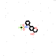 O=S(=O)(Nc1ccccc1-c1ccc2c(c1)OCC[C@@H]2O)C(F)(F)F